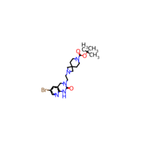 CC(C)(C)OC(=O)N1CCC2(CC1)CN(CCN1Cc3cc(Br)cnc3NC1=O)C2